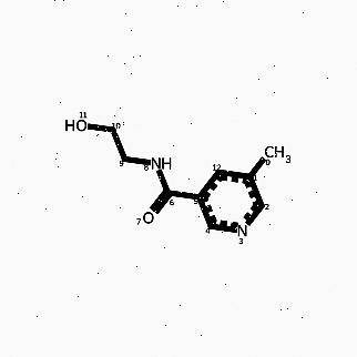 Cc1cncc(C(=O)NCCO)c1